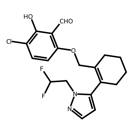 O=Cc1c(OCC2=C(c3ccnn3CC(F)F)CCCC2)ccc(Cl)c1O